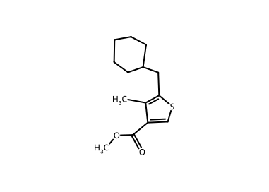 COC(=O)c1csc(CC2CCCCC2)c1C